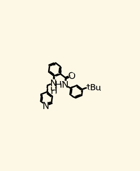 CC(C)(C)c1cccc(NC(=O)c2ccccc2NCc2ccncc2)c1